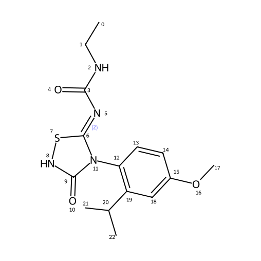 CCNC(=O)/N=c1\s[nH]c(=O)n1-c1ccc(OC)cc1C(C)C